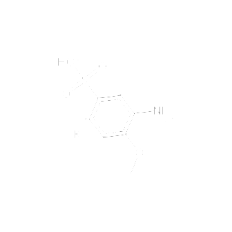 COc1ccc(S(=O)(=O)O)cc1N.[K]